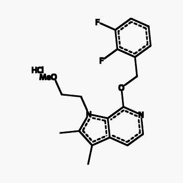 COCCn1c(C)c(C)c2ccnc(OCc3cccc(F)c3F)c21.Cl